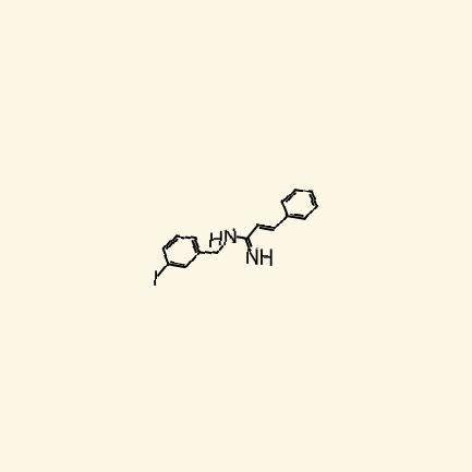 N=C(/C=C/c1ccccc1)NCc1cccc(I)c1